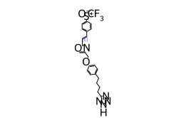 [O-][S+](c1ccc(/C=C/c2nc(COc3ccc(CCCCc4nn[nH]n4)cc3)co2)cc1)C(F)(F)F